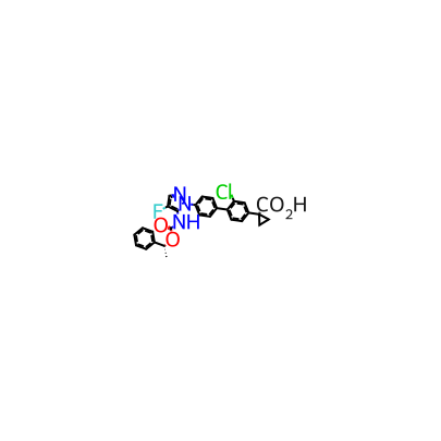 C[C@@H](OC(=O)Nc1c(F)cnn1-c1ccc(-c2ccc(C3(C(=O)O)CC3)cc2Cl)cc1)c1ccccc1